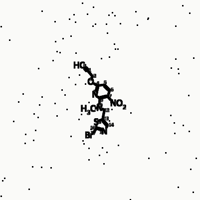 C#CCOc1ccc([N+](=O)[O-])c(N(C)Cc2cnc(Br)s2)n1